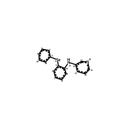 c1ccc([Se]c2ccccc2Nc2cccnc2)cc1